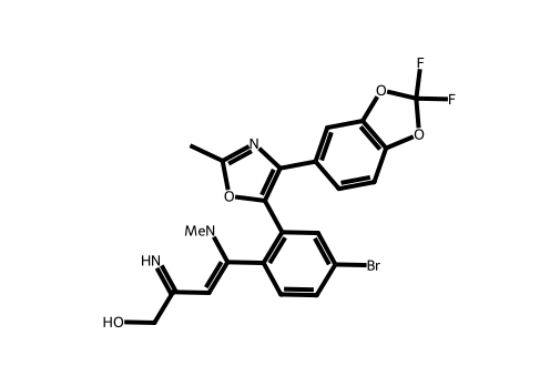 CN/C(=C\C(=N)CO)c1ccc(Br)cc1-c1oc(C)nc1-c1ccc2c(c1)OC(F)(F)O2